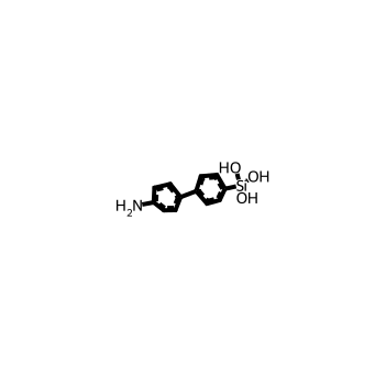 Nc1ccc(-c2ccc([Si](O)(O)O)cc2)cc1